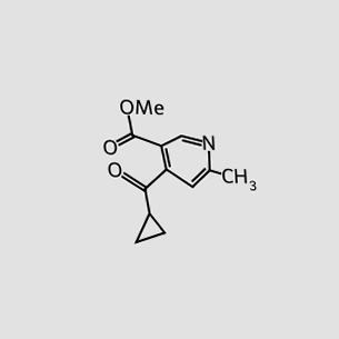 COC(=O)c1cnc(C)cc1C(=O)C1CC1